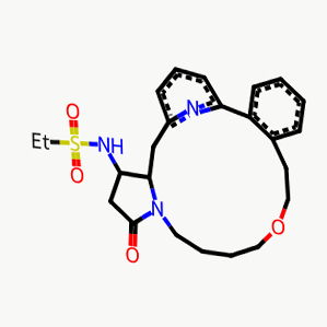 CCS(=O)(=O)NC1CC(=O)N2CCCCOCCc3ccccc3-c3cccc(n3)CC12